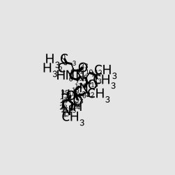 CC(C)C[C@@H]1NCCN([C@@H](CC(C)C)C(=O)N2CCC3(C[C@@H]2C)O[C@H]2CN(C)CC[C@H]2O3)C1=O